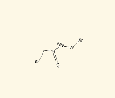 CC(=O)[N]NC(=O)CBr